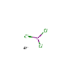 ClP(Cl)Cl.[Zn]